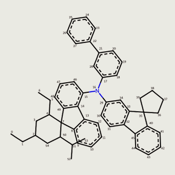 CCC1CC(CC)C2(c3ccccc3-c3c(N(c4cccc(-c5ccccc5)c4)c4ccc5c(c4)C4(CCCC4)c4ccccc4-5)cccc32)C(C(C)C)C1